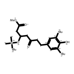 COC(=O)CC(CC(=O)CCc1cc(C(C)(C)C)c(O)c(C(C)(C)C)c1)O[Si](C)(C)C(C)(C)C